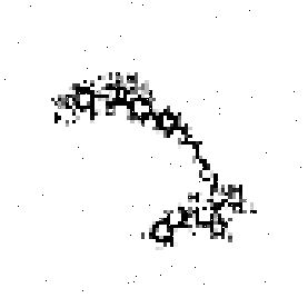 CC(C)(C)[C@H](NC(=O)COCCCCOc1ccc(-c2ccc(N3C(=S)N(c4ccc(C#N)c(C(F)(F)F)c4F)C(=O)C3(C)C)cn2)cc1)C(=O)N1CCCC1c1nc(-c2ccccc2)c[nH]1